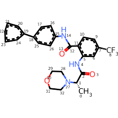 C[C@@H](C(=O)Nc1cc(C(F)(F)F)ccc1C(=O)Nc1ccc(-c2ccccc2)cc1)N1CCOCC1